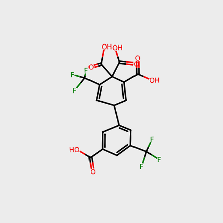 O=C(O)C1=CC(c2cc(C(=O)O)cc(C(F)(F)F)c2)C=C(C(F)(F)F)C1(C(=O)O)C(=O)O